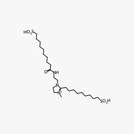 C[N+]1=C(CCCCCCCCCS(=O)(=O)O)N(CCNC(=O)CCCCCCCCCS(=O)(=O)O)CC1